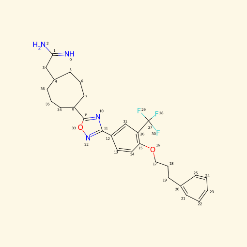 N=C(N)CC1CCCC(c2nc(-c3ccc(OCCCc4ccccc4)c(C(F)(F)F)c3)no2)CCC1